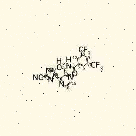 CC(NC(=O)c1cc(C(F)(F)F)cc(C(F)(F)F)c1)c1nccnc1-n1cnc(C#N)n1